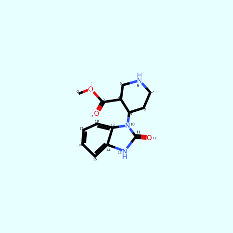 COC(=O)C1CNCCC1n1c(=O)[nH]c2ccccc21